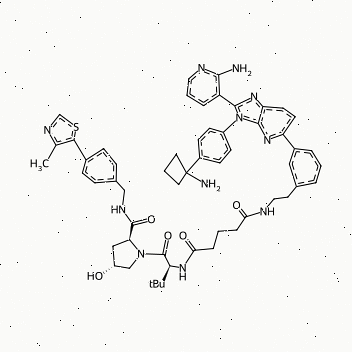 Cc1ncsc1-c1ccc(CNC(=O)[C@@H]2C[C@@H](O)CN2C(=O)[C@@H](NC(=O)CCCC(=O)NCCc2cccc(-c3ccc4nc(-c5cccnc5N)n(-c5ccc(C6(N)CCC6)cc5)c4n3)c2)C(C)(C)C)cc1